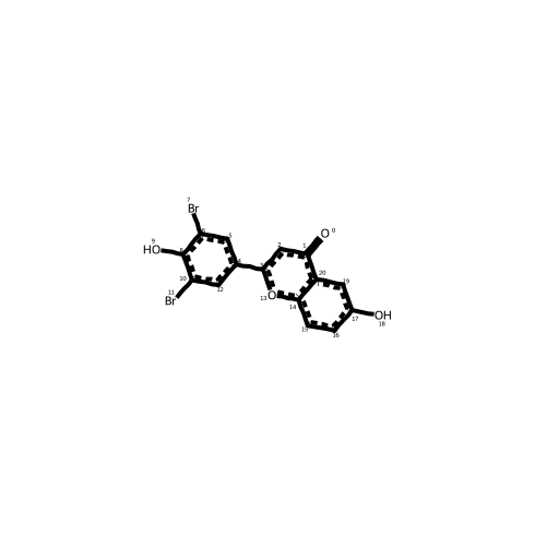 O=c1cc(-c2cc(Br)c(O)c(Br)c2)oc2ccc(O)cc12